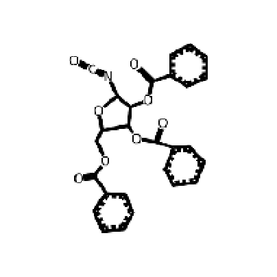 O=C=NC1OC(COC(=O)c2ccccc2)C(OC(=O)c2ccccc2)C1OC(=O)c1ccccc1